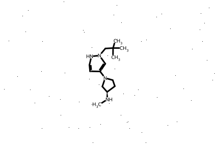 CN[C@@H]1CCN(C2=CN(CC(C)(C)C)NC=C2)C1